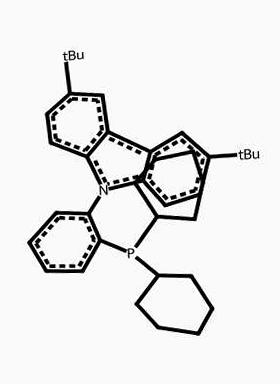 CC(C)(C)c1ccc2c(c1)c1cc(C(C)(C)C)ccc1n2-c1ccccc1P(C1CCCCC1)C1CCCCC1